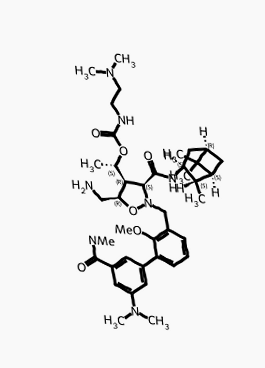 CNC(=O)c1cc(-c2cccc(CN3O[C@@H](CN)[C@@H]([C@H](C)OC(=O)NCCN(C)C)[C@H]3C(=O)N[C@H]3C[C@H]4C[C@@H]([C@@H]3C)C4(C)C)c2OC)cc(N(C)C)c1